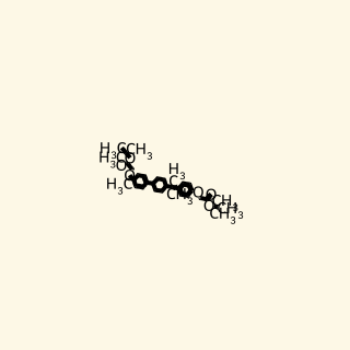 CC(C)(C)OC(=O)COc1ccc(C(C)(C)C2CCC(C3=CCC(C)(OCC(=O)OC(C)(C)C)C=C3)CC2)cc1